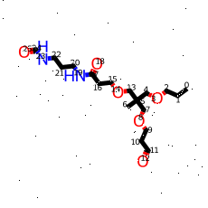 CCCOCC(C)(COCCC=O)COCCC(=O)NCCCNC=O